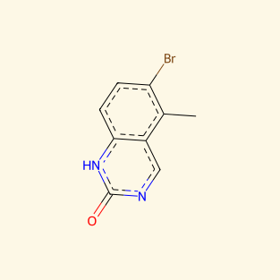 Cc1c(Br)ccc2[nH]c(=O)ncc12